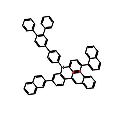 c1ccc(-c2ccc(-c3ccc(N(c4ccc(-c5cccc6ccccc56)cc4)c4cc(-c5ccc6ccccc6c5)ccc4-c4ccc5ccccc5c4)cc3)cc2-c2ccccc2)cc1